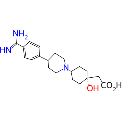 N=C(N)c1ccc(C2CCN([C@H]3CC[C@](O)(CC(=O)O)CC3)CC2)cc1